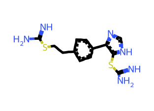 N=C(N)SCCc1ccc(-c2nc[nH]c2SC(=N)N)cc1